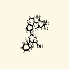 CCC1(CC)CC(=O)N([C@@H]2CCOc3ccc(C(=O)NC4C(C)(CO)OC5C=CC=CC54C)cc32)C(=N)N1